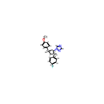 CCOc1ccc([Si](C)(C)C[Si](C)(Cn2cncn2)c2ccc(F)cc2)cc1